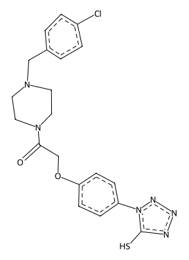 O=C(COc1ccc(-n2nnnc2S)cc1)N1CCN(Cc2ccc(Cl)cc2)CC1